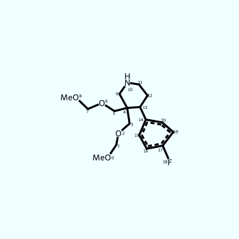 COCOCC1(COCOC)CNCCC1c1ccc(F)cc1